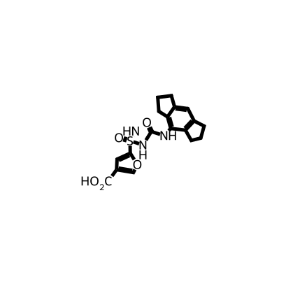 N=S(=O)(NC(=O)Nc1c2c(cc3c1CCC3)CCC2)c1cc(C(=O)O)co1